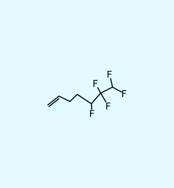 C=CCCC(F)C(F)(F)C(F)F